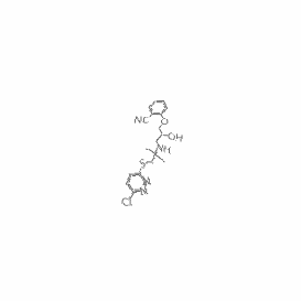 CC(C)(CSc1ccc(Cl)nn1)NCC(O)COc1ccccc1C#N